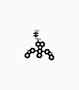 CC(C)(O)C(C)(C)OBc1ccc2c3c(cccc13)-c1c-2c(-c2ccc3sc4ccccc4c3c2)c2c#cccc2c1-c1ccc2sc3ccccc3c2c1